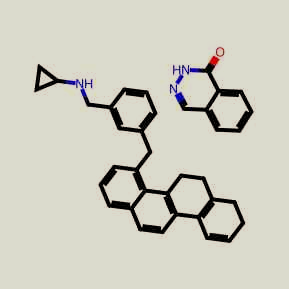 C1=CC2=C(CC1)CCc1c2ccc2cccc(Cc3cccc(CNC4CC4)c3)c12.O=c1[nH]ncc2ccccc12